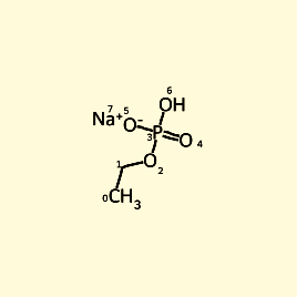 CCOP(=O)([O-])O.[Na+]